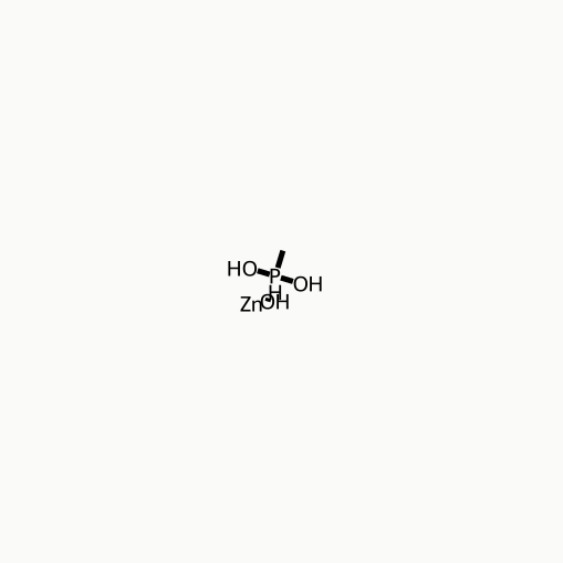 C[PH](O)(O)O.[Zn]